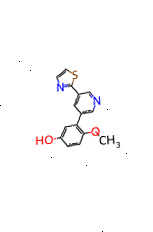 COc1ccc(O)cc1-c1cncc(-c2nccs2)c1